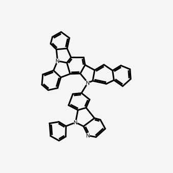 c1ccc(-n2c3ccc(-n4c5cc6ccccc6cc5c5cc6c7ccccc7n7c8ccccc8c(c54)c67)cc3c3cccnc32)cc1